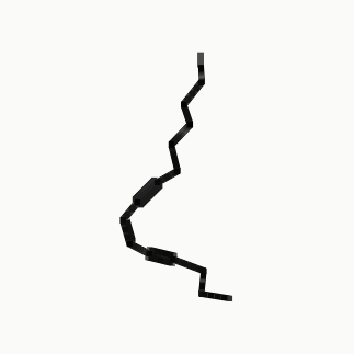 CCCC#C/C=C\C#CCCCCCI